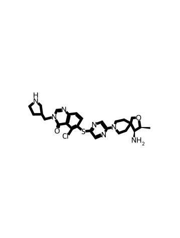 C[C@@H]1OCC2(CCN(c3cnc(Sc4ccc5ncn(CC6CCNC6)c(=O)c5c4Cl)cn3)CC2)[C@@H]1N